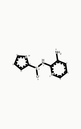 Nc1cccnc1N[S+]([O-])c1cccs1